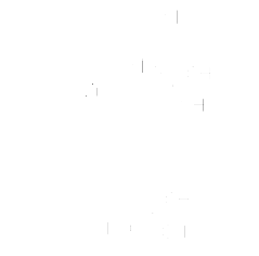 CC(C)(C)c1ccc2c(c1)-c1cc(C(C)(C)C)c[c](/[Zr](=[CH]\c3ccc(Cl)cc3)[C]3=CC=CC3)c1C2